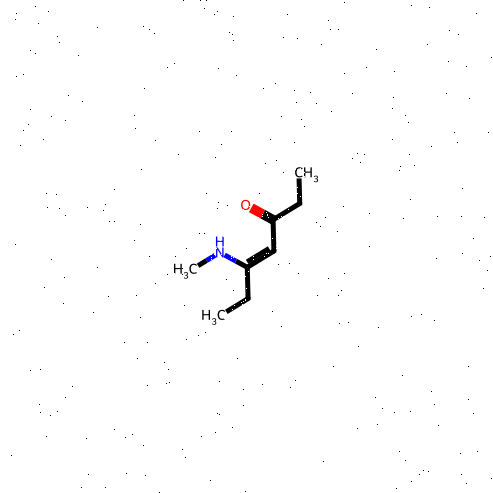 CCC(=O)C=C(CC)NC